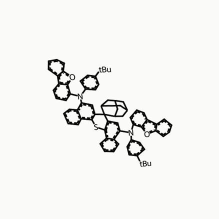 CC(C)(C)c1ccc(N(c2cc3c(c4ccccc24)Sc2c(cc(N(c4ccc(C(C)(C)C)cc4)c4cccc5c4oc4ccccc45)c4ccccc24)C32C3CC4CC(C3)CC2C4)c2cccc3c2oc2ccccc23)cc1